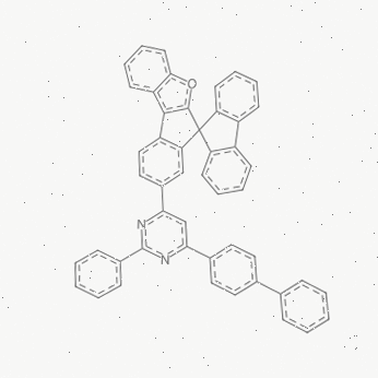 c1ccc(-c2ccc(-c3cc(-c4ccc5c(c4)C4(c6ccccc6-c6ccccc64)c4oc6ccccc6c4-5)nc(-c4ccccc4)n3)cc2)cc1